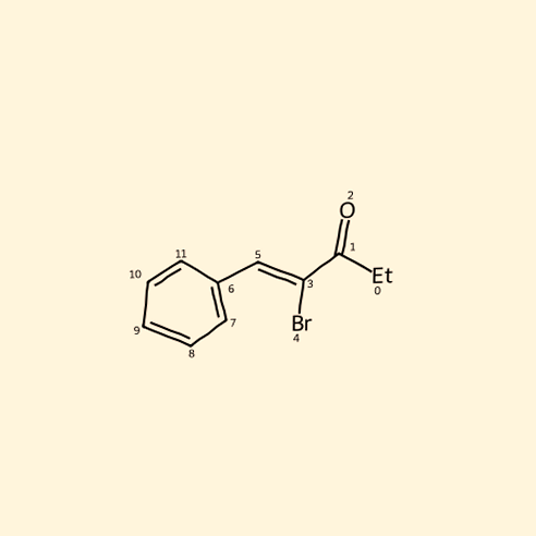 CCC(=O)C(Br)=Cc1ccccc1